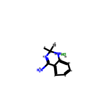 CCC1(C)N=C(N)c2ccccc2N1.Cl